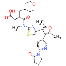 Cc1oc(C)c(-c2csc(N(C)C(=O)[C@@H](CC(=O)O)CC3CCOCC3)n2)c1-c1ccc(N2CCCC2=O)nc1